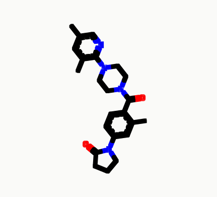 Cc1cnc(N2CCN(C(=O)c3ccc(N4CCCC4=O)cc3C)CC2)c(C)c1